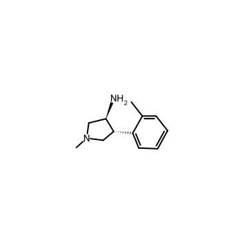 Cc1ccccc1[C@@H]1CN(C)C[C@H]1N